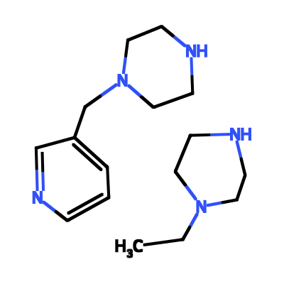 CCN1CCNCC1.c1cncc(CN2CCNCC2)c1